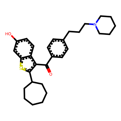 O=C(c1ccc(CCCN2CCCCC2)cc1)c1c(C2CCCCCC2)sc2cc(O)ccc12